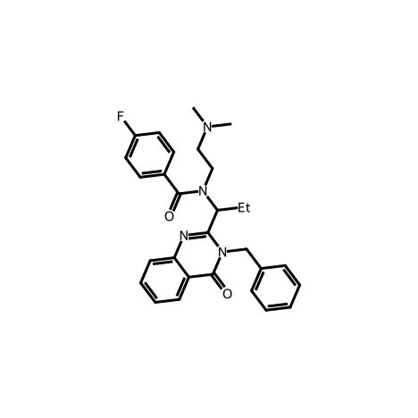 CCC(c1nc2ccccc2c(=O)n1Cc1ccccc1)N(CCN(C)C)C(=O)c1ccc(F)cc1